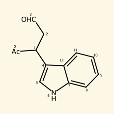 CC(=O)C(CC=O)c1c[nH]c2ccccc12